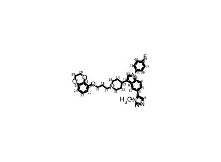 Cn1nncc1-c1ccc2c(c1)c(C1CCN(CCCOc3cccc4c3OCCO4)CC1)cn2-c1ccc(F)cc1